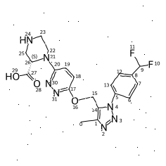 Cc1nnn(-c2ccc(C(F)F)cc2)c1COc1ccc(N2CCNC[C@H]2C(=O)O)nn1